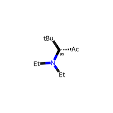 CCN(CC)[C@@H](C(C)=O)C(C)(C)C